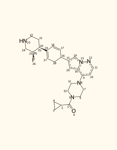 O=C(C1CC1)N1CCN(c2ccnn3cc(C4C=CC([C@@H]5CCNC[C@@H]5F)=CC4)cc23)CC1